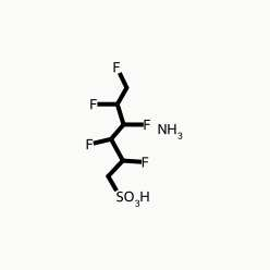 N.O=S(=O)(O)CC(F)C(F)C(F)C(F)CF